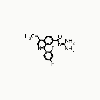 CCc1cnc(-c2ccc(F)cc2F)c2cc(C(=O)N=C(N)N)ccc12